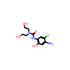 Nc1cc(O)c(NC(=O)N(CCO)CCO)cc1Cl